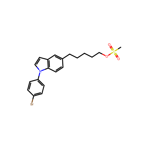 CS(=O)(=O)OCCCCCc1ccc2c(ccn2-c2ccc(Br)cc2)c1